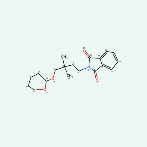 CC(C)(CCN1C(=O)c2ccccc2C1=O)COC1CCCCO1